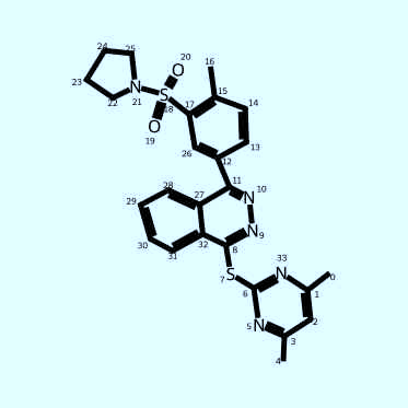 Cc1cc(C)nc(Sc2nnc(-c3ccc(C)c(S(=O)(=O)N4CCCC4)c3)c3ccccc23)n1